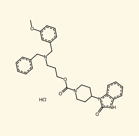 COc1cccc(CN(CCCOC(=O)N2CCC(n3c(=O)[nH]c4ccccc43)CC2)Cc2ccccc2)c1.Cl